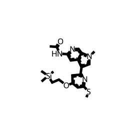 CSc1cc(OCC[Si](C)(C)C)cc(-c2cn(C)c3cnc(NC(C)=O)cc23)n1